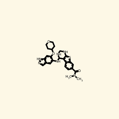 CN(C)C(=O)c1ccc2c3c(sc2c1)NCNC3Nc1cc2cn[nH]c2cc1OC1CCOCC1